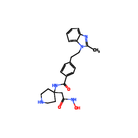 Cc1nc2ccccc2n1CCc1ccc(C(=O)NC2(CC(=O)NO)CCNCC2)cc1